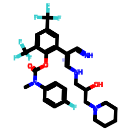 CN(C(=O)Oc1c(/C(C=N)=C/NCC(O)CN2CCCCC2)cc(C(F)(F)F)cc1C(F)(F)F)c1ccc(F)cc1